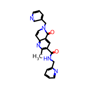 Cc1nc2ccn(Cc3cccnc3)c(=O)c2cc1C(=O)NCc1ccccn1